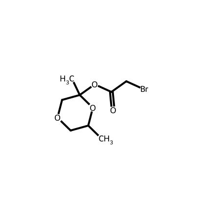 CC1COCC(C)(OC(=O)CBr)O1